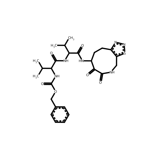 CC(C)C(NC(=O)OCc1ccccc1)C(=O)NC(C(=O)NC1CCc2nnsc2CNC(=O)C1=O)C(C)C